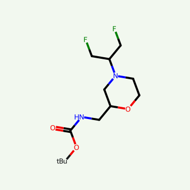 CC(C)(C)OC(=O)NCC1CN(C(CF)CF)CCO1